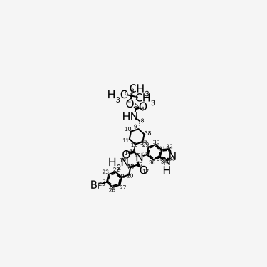 CC(C)(C)OC(=O)NC[C@H]1CC[C@H](C(=O)N(C(=O)[C@@H](N)Cc2ccc(Br)cc2)c2ccc3cn[nH]c3c2)CC1